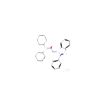 COc1ccc(OC)c(-c2nc3ccccc3n2CC(=O)N(C2CCCCC2)C2CCCCC2)c1